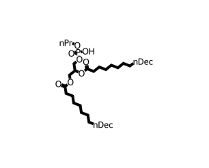 CCCCCCCCCCCCCCCCCC(=O)OCC(COP(=O)(O)OCCC)OC(=O)CCCCCCCCCCCCCCCCC